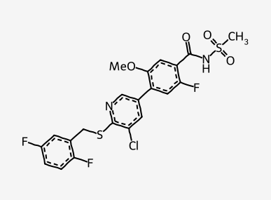 COc1cc(C(=O)NS(C)(=O)=O)c(F)cc1-c1cnc(SCc2cc(F)ccc2F)c(Cl)c1